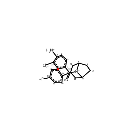 Nc1ccc(C(=O)N2C3CCC2CC(c2ccc(F)cc2)C3)cc1Cl